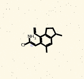 C=Cc1c(/C=C(\N)Cl)c(C)cc2c1CCC2C